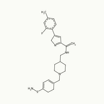 C=C(NCC1CCN(CC2=CC=C(SN)CC2)CC1)C1=NCC(c2ccc(C)cc2F)=C1